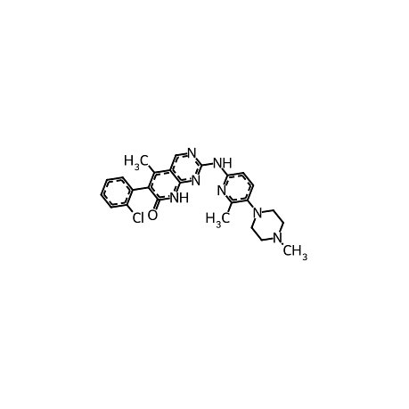 Cc1nc(Nc2ncc3c(C)c(-c4ccccc4Cl)c(=O)[nH]c3n2)ccc1N1CCN(C)CC1